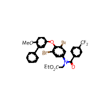 CCOC(=O)CN(C(=O)c1ccc(C(F)(F)F)cc1)c1cc(Br)c(Oc2ccc(OC)c(-c3ccccc3)c2)c(Br)c1